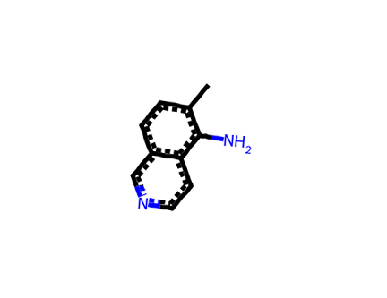 Cc1ccc2cnccc2c1N